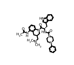 CC(=O)Nc1cccc2c1CC(CN(C)C)CN2C(=O)[C@@H](Cc1c[nH]c2ccccc12)NC(=O)N1CCN(c2ccccc2)CC1